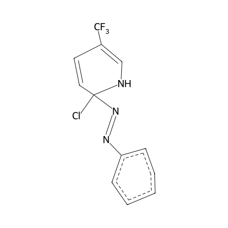 FC(F)(F)C1=CNC(Cl)(N=Nc2ccccc2)C=C1